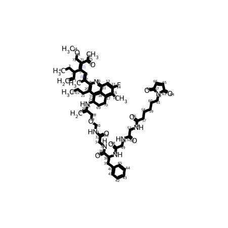 C=CC(CC)C(/C=C(\C)c1nc2cc(F)c(C)c3c2c(c1CCC)C(NC(=C)COCNC(=O)CNC(=O)C(Cc1ccccc1)NC(=O)CNC(=O)CNC(=O)CCCCCN1C(=O)C=CC1=O)CC3)=C(\COC)C(C)=O